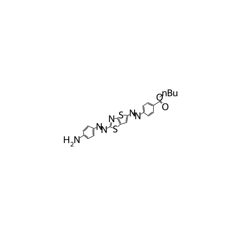 CCCCOC(=O)c1ccc(N=Nc2cc3sc(N=Nc4ccc(N)cc4)nc3s2)cc1